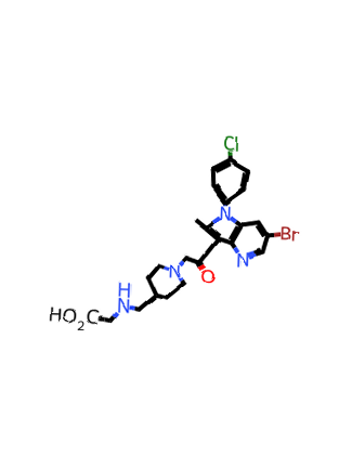 Cc1c(C(=O)CN2CCC(CNCC(=O)O)CC2)c2ncc(Br)cc2n1-c1ccc(Cl)cc1